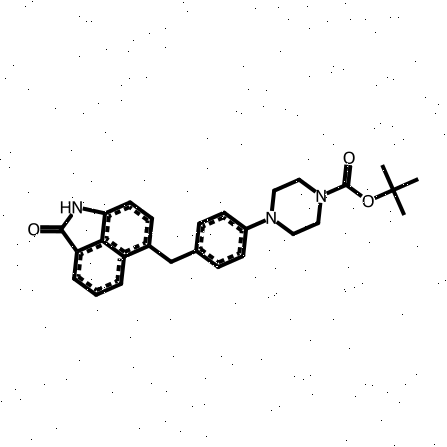 CC(C)(C)OC(=O)N1CCN(c2ccc(Cc3ccc4c5c(cccc35)C(=O)N4)cc2)CC1